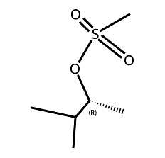 CC(C)[C@@H](C)OS(C)(=O)=O